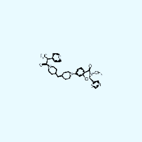 CN(Cc1cncs1)C(=O)c1ccc(N2CCC(CC3CCN(C(=O)[C@H](c4ccccc4)C(F)(F)F)CC3)CC2)cc1Cl